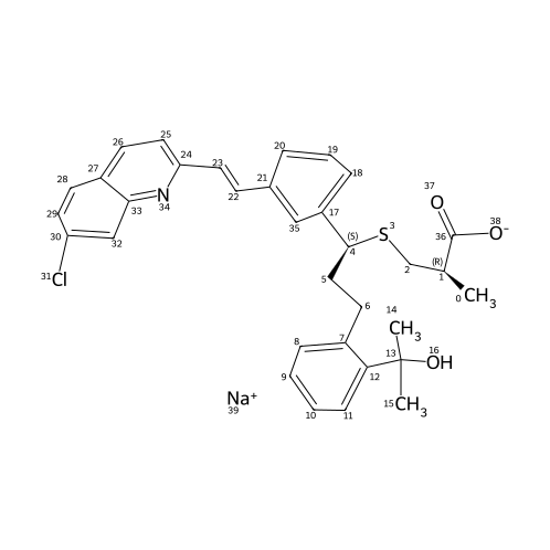 C[C@@H](CS[C@@H](CCc1ccccc1C(C)(C)O)c1cccc(C=Cc2ccc3ccc(Cl)cc3n2)c1)C(=O)[O-].[Na+]